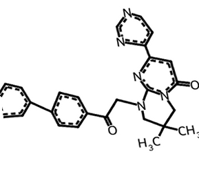 CC1(C)CN(CC(=O)c2ccc(-c3ccccc3)cc2)c2nc(-c3ccncn3)cc(=O)n2C1